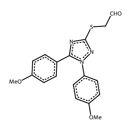 COc1ccc(-c2nc(SCC=O)nn2-c2ccc(OC)cc2)cc1